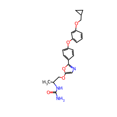 CC(COc1cnc(-c2ccc(Oc3cccc(OCC4CC4)c3)cc2)o1)NC(N)=O